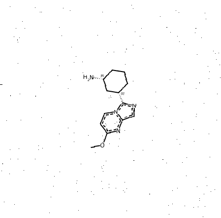 COc1ccn2c([C@H]3CCC[C@@H](N)C3)ncc2n1